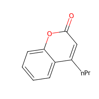 [CH2]CCc1cc(=O)oc2ccccc12